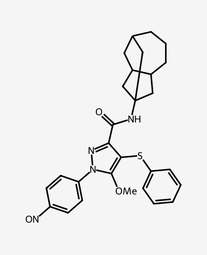 COc1c(Sc2ccccc2)c(C(=O)NC23CC4CCCC(C2)C(C4)C3)nn1-c1ccc(N=O)cc1